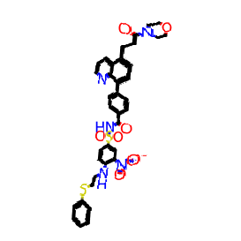 O=C(NS(=O)(=O)c1ccc(NCCSc2ccccc2)c([N+](=O)[O-])c1)c1ccc(-c2ccc(CCC(=O)N3CCOCC3)c3cccnc23)cc1